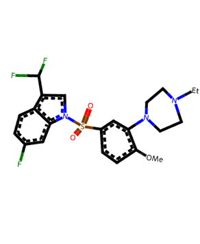 CCN1CCN(c2cc(S(=O)(=O)n3cc(C(F)F)c4ccc(F)cc43)ccc2OC)CC1